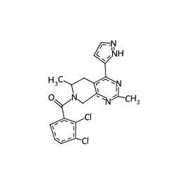 Cc1nc2c(c(-c3ccn[nH]3)n1)CC(C)N(C(=O)c1cccc(Cl)c1Cl)C2